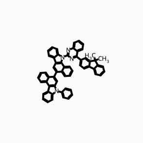 CC1(C)c2ccccc2-c2ccc(-c3nc(-n4c5ccccc5c5cc(-c6cc7c(c8ccccc68)c6ccccc6n7-c6ccccc6)c6ccccc6c54)nc4ccccc34)cc21